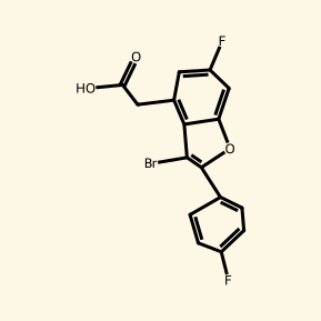 O=C(O)Cc1cc(F)cc2oc(-c3ccc(F)cc3)c(Br)c12